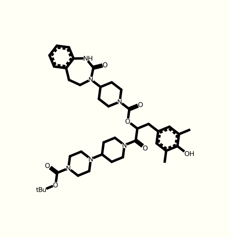 Cc1cc(CC(OC(=O)N2CCC(N3CCc4ccccc4NC3=O)CC2)C(=O)N2CCC(N3CCN(C(=O)OC(C)(C)C)CC3)CC2)cc(C)c1O